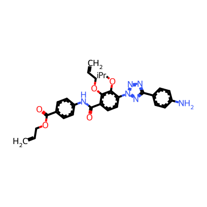 C=CCOC(=O)c1ccc(NC(=O)c2ccc(-n3nnc(-c4ccc(N)cc4)n3)c(OC(C)C)c2OCC=C)cc1